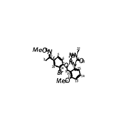 CO/N=C(\C)c1ccc(OCc2c(OC)cccc2-n2nnn(C)c2=O)c(Br)c1